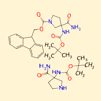 CC(C)(C)OC(=O)NC1(C(N)=O)CCN(C(=O)OCC2c3ccccc3-c3ccccc32)C1.CC(C)(C)OC(=O)NC1(C(N)=O)CCNC1